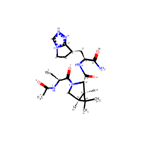 CC(C)(C)[C@H](NC(=O)C(F)(F)F)C(=O)N1C[C@H]2[C@@H]([C@H]1C(=O)N[C@@H](C[C@@H]1CCn3cnnc31)C(N)=O)C2(C)C